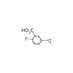 O=C(O)c1cc(C2CC2)ccc1F